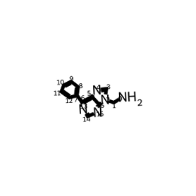 NCn1cnc2c(-c3ccccc3)ncnc21